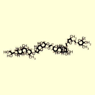 C=C1C[C@H](CC[C@]23CC(O)(O)C(O2)[C@@H]2O[C@H]4CC[C@H](CC(=O)O[C@H]5CO[C@H]6C[C@H]7O[C@@H](O[C@H]8CC[C@@]9(C[C@H](C)[C@@H]%10O[C@@H]%11C[C@@H]([C@@H](O)CO)O[C@@H]%11C[C@@H]%10O9)O[C@H]8C)CC7OC6C5)O[C@@H]4[C@H](O3)[C@@H]2C)O[C@H]1CC[C@H]1C[C@@H](C)C(=C)[C@@H](CC)O1